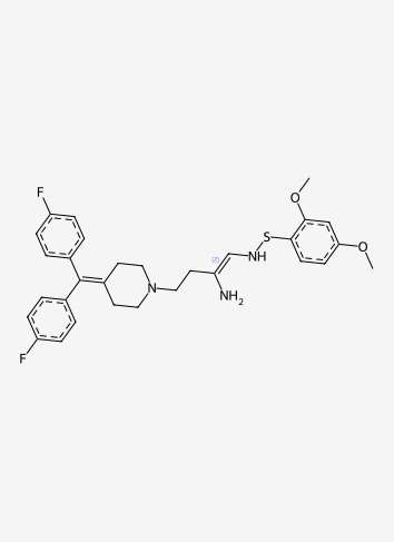 COc1ccc(SN/C=C(\N)CCN2CCC(=C(c3ccc(F)cc3)c3ccc(F)cc3)CC2)c(OC)c1